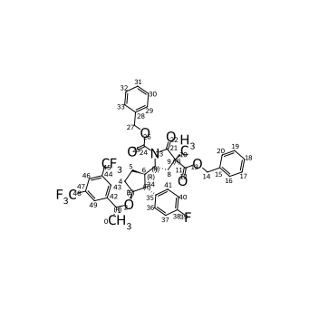 C[C@@H](O[C@H]1CC[C@@H]([C@H]2C[C@@](C)(C(=O)OCc3ccccc3)C(=O)N2C(=O)OCc2ccccc2)[C@@H]1c1ccc(F)cc1)c1cc(C(F)(F)F)cc(C(F)(F)F)c1